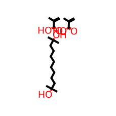 C=C(C)C(=O)O.C=C(C)C(=O)O.CC(C)(O)CCCCCCCCC(C)(C)O